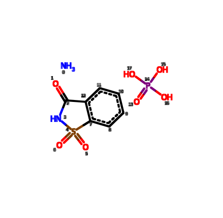 N.O=C1NS(=O)(=O)c2ccccc21.O=P(O)(O)O